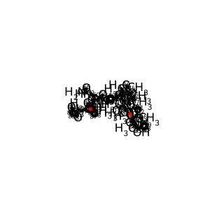 CC[C@H](C)[C@H]([C@@H](CC(=O)N1CCC[C@H]1[C@@H](OC)[C@@H](C)C(=O)N[C@@H](C)[C@H](O)c1ccccc1)OC)N(C)C(=O)[C@@H](NC(=O)[C@@H](C(C)C)N(C)C(=O)OCc1ccc(NC(=O)[C@H](CCCNC(N)=O)NC(=O)[C@@H](NC2(C(O)CCCCN3C(=O)C=CC3=O)CCCC2)C(C)C)cc1)C(C)C